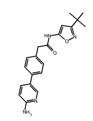 CC(C)(C)c1cc(NC(=O)Cc2ccc(-c3ccc(N)nc3)cc2)on1